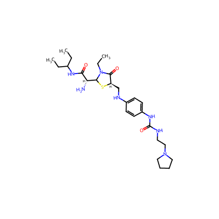 CCC(CC)NC(=O)[C@@H](N)C1S[C@H](CNc2ccc(NC(=O)NCCN3CCCC3)cc2)C(=O)N1CC